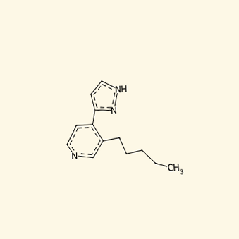 CCCCCc1cnccc1-c1cc[nH]n1